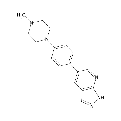 CN1CCN(c2ccc(-c3cnc4[nH]ncc4c3)cc2)CC1